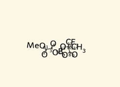 COC(=O)C(=O)OB1OC(=O)C(C)(C(F)(F)F)O1